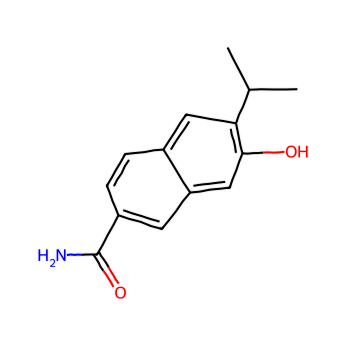 CC(C)c1cc2ccc(C(N)=O)cc2cc1O